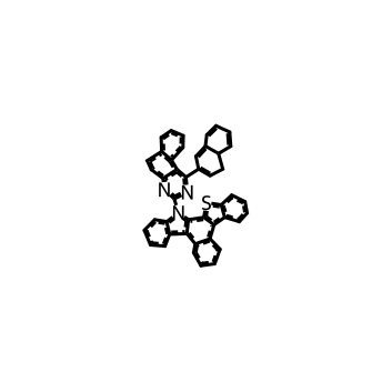 C1=CC2=CC(c3nc(-n4c5ccccc5c5c6ccccc6c6c7ccccc7sc6c54)nc4ccc5ccccc5c34)=CCC2C=C1